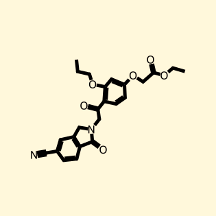 CCCOc1cc(OCC(=O)OCC)ccc1C(=O)CN1Cc2cc(C#N)ccc2C1=O